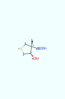 C[C@]1(C#N)CSC[C@@H]1O